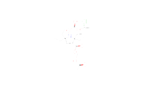 CCC1(CC)CC(C(=O)OCOC(C)=O)C(CC)(CC)N1OC(=O)OC(C)Cl